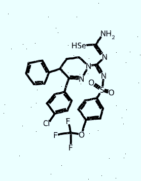 N/C([SeH])=N/C(=N/S(=O)(=O)c1ccc(OC(F)(F)F)cc1)N1CCC(c2ccccc2)C(c2ccc(Cl)cc2)=N1